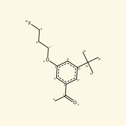 CC(=O)c1cc(OCCCF)cc(C(C)(C)C)c1